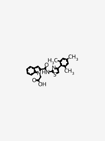 Cc1cc(C)c(-c2csc(NC(=O)c3cc4ccccc4n3CC(=O)O)n2)c(C)c1